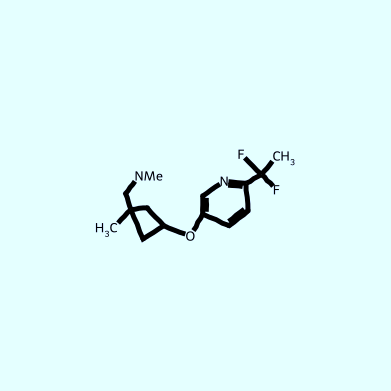 CNCC1(C)CC(Oc2ccc(C(C)(F)F)nc2)C1